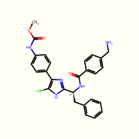 COC(=O)Nc1ccc(-c2nc([C@H](Cc3ccccc3)NC(=O)c3ccc(CN)cc3)[nH]c2Cl)cc1